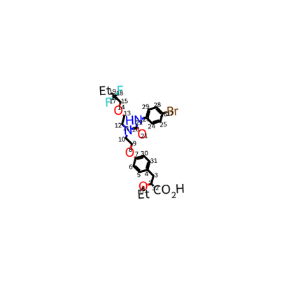 CCOC(Cc1ccc(OCCN(CCOCC(F)(F)CC)C(=O)Nc2ccc(Br)cc2)cc1)C(=O)O